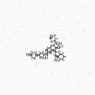 C=C(c1cc2cnc(Nc3ccc(N4CCNCC4)cc3)nc2n(C2CNc3ccccc3C2)c1=O)C1CCOCC1